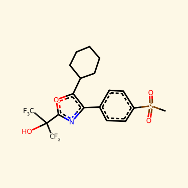 CS(=O)(=O)c1ccc(-c2nc(C(O)(C(F)(F)F)C(F)(F)F)oc2C2CCCCC2)cc1